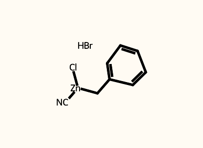 Br.N#[C][Zn]([Cl])[CH2]c1ccccc1